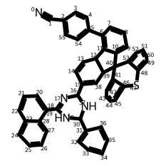 N#Cc1ccc(-c2cccc3c2C2C=CC(C4N=C(c5cccc6ccccc56)NC(c5ccccc5)N4)=CC2C32c3ccccc3Sc3ccccc32)cc1